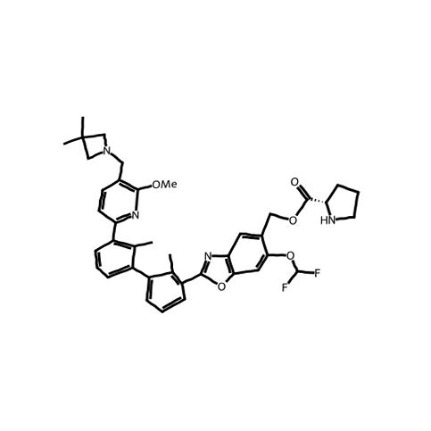 COc1nc(-c2cccc(-c3cccc(-c4nc5cc(COC(=O)[C@@H]6CCCN6)c(OC(F)F)cc5o4)c3C)c2C)ccc1CN1CC(C)(C)C1